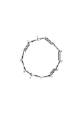 [C]1=CC=CCC=CCCCCC=C1